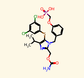 CC(C)c1nc(COC(N)=O)n(Cc2cccc(OCP(=O)(O)O)c2)c1Sc1cc(Cl)cc(Cl)c1